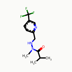 CC(C)C(=O)N(C)NCc1ccc(C(F)(F)F)cn1